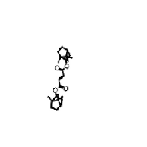 CC1(C)C2CCC1(C)C(OC(=O)/C=C/C(=O)OC1CC3CCC1(C)C3(C)C)C2